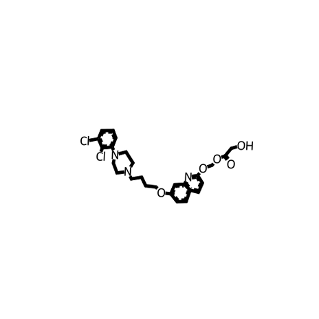 O=C(CO)OCOc1ccc2ccc(OCCCCN3CCN(c4cccc(Cl)c4Cl)CC3)cc2n1